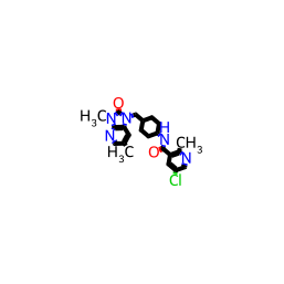 Cc1cnc2c(c1)n(CC1CCC(NC(=O)c3cc(Cl)cnc3C)CC1)c(=O)n2C